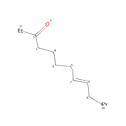 CCC(=O)CCCCC=CCC(C)C